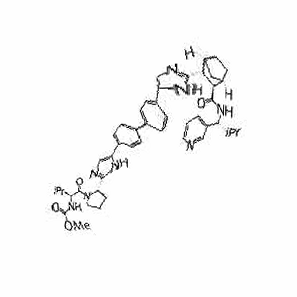 COC(=O)N[C@H](C(=O)N1CCC[C@H]1c1ncc(-c2ccc(-c3ccc(-c4cnc([C@@H]5[C@H]6CC[C@H](C6)[C@H]5C(=O)N[C@@H](c5cccnc5)C(C)C)[nH]4)cc3)cc2)[nH]1)C(C)C